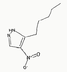 CCCCCc1[nH]ncc1[N+](=O)[O-]